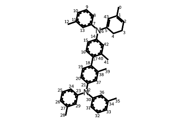 CC1=CCCC(N(c2cccc(C)c2)c2ccc(-c3ccc(N(c4cccc(C)c4)c4cccc(C)c4)cc3C)c(C)c2)=C1